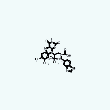 Cc1cc2nc3c(=O)[nH]c(=O)nc-3n(C(CN(Cc3ccc4[nH]cnc4c3)C(=O)O)C(C)(C)C)c2cc1C